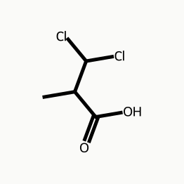 CC(C(=O)O)C(Cl)Cl